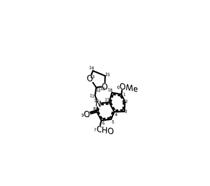 COc1ccc2cc(C=O)c(=O)n(CC3OCCO3)c2c1